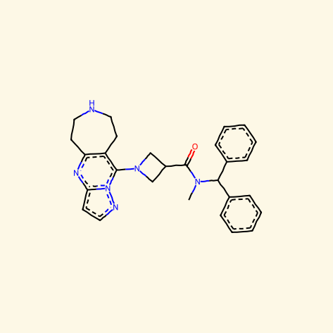 CN(C(=O)C1CN(c2c3c(nc4ccnn24)CCNCC3)C1)C(c1ccccc1)c1ccccc1